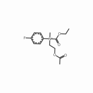 CCOC(=O)[N+](C)(CCOC(C)=O)c1ccc(F)cc1